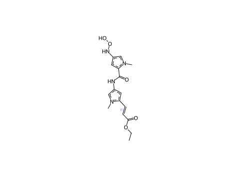 CCOC(=O)/C=C/c1cc(NC(=O)c2cc(NOO)cn2C)cn1C